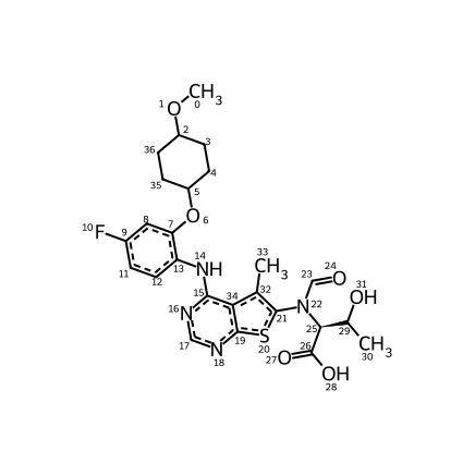 COC1CCC(Oc2cc(F)ccc2Nc2ncnc3sc(N(C=O)[C@H](C(=O)O)C(C)O)c(C)c23)CC1